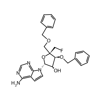 Nc1ncnc2c1ccn2[C@@H]1O[C@](CF)(COCc2ccccc2)[C@@H](OCc2ccccc2)[C@H]1O